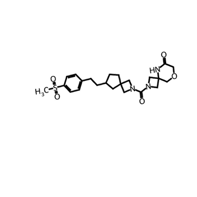 CS(=O)(=O)c1ccc(CCC2CCC3(C2)CN(C(=O)N2CC4(COCC(=O)N4)C2)C3)cc1